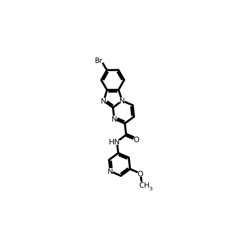 COc1cncc(NC(=O)c2ccn3c(n2)nc2cc(Br)ccc23)c1